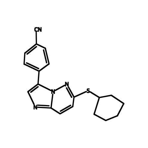 N#Cc1ccc(-c2cnc3ccc(SC4CCCCC4)nn23)cc1